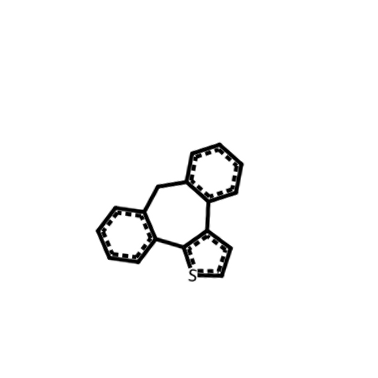 c1ccc2c(c1)Cc1ccccc1-c1sccc1-2